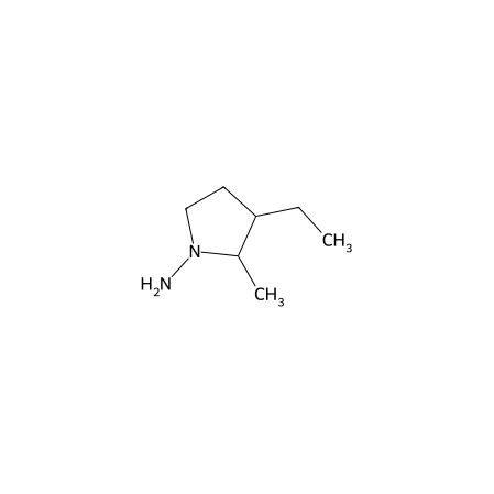 CCC1CCN(N)C1C